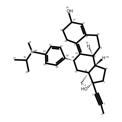 CC#C[C@]1(O)CC[C@H]2[C@@H]3CCC4=CC(O)CCC4=C3[C@@H](c3ccc(N(C)C(C)C)cc3)C[C@@]21C